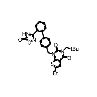 CCc1cc2c(=O)n(CC(C)(C)C)c(=O)n(Cc3ccc(-c4ccccc4-c4noc(=O)[nH]4)cc3)c2s1